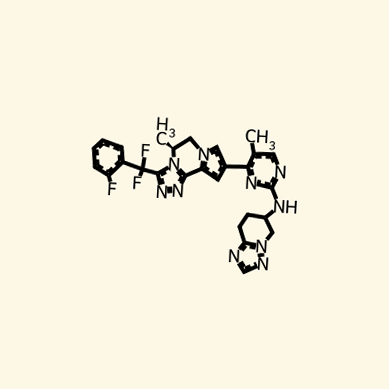 Cc1cnc(NC2CCc3ncnn3C2)nc1-c1cc2n(c1)C[C@H](C)n1c-2nnc1C(F)(F)c1ccccc1F